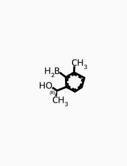 Bc1c(C)cccc1[C@@H](C)O